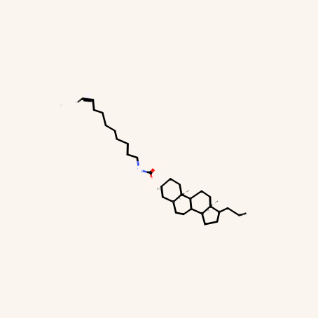 CCCCCCCC/C=C\CCCCCCCCNC(=O)O[C@@H]1CC[C@@]2(C)C(CCC3C2CC[C@]2(C)C(CCC(C)(C)C)CCC32)C1